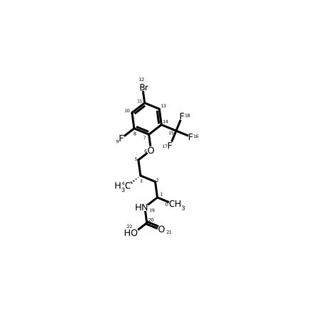 CC(C[C@H](C)COc1c(F)cc(Br)cc1C(F)(F)F)NC(=O)O